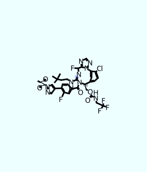 CC(C)(C)CCN/C1=N\C(F)c2ncnn2-c2cc(ccc2Cl)[C@@H](COC(=O)NCC(F)(F)F)N1C(=O)c1ccc(-c2cnn(S(C)(=O)=O)c2)c(F)c1